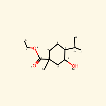 CCOC(=O)C1(C)CCC(C(C)C)C(O)C1